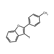 Cc1ccc(-c2oc3ccccc3c2I)cc1